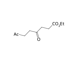 CCOC(=O)CCC(=O)CCC(C)=O